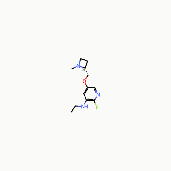 CCNc1cc(OC[C@H]2CCN2C)cnc1F